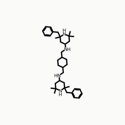 CC1(C)CC(NCC2CCC(CNC3CC(C)(C)NC(C)(Cc4ccccc4)C3)CC2)CC(C)(Cc2ccccc2)N1